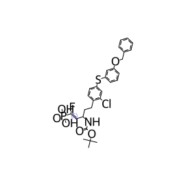 CC(C)(C)OC(=O)NC(/C=C(\F)P(=O)(O)O)CCc1ccc(Sc2cccc(OCc3ccccc3)c2)cc1Cl